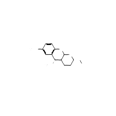 COc1ccc2c(c1)[C@H](OC)[C@H]1[C@@H](O2)O[C@H](CO)[C@H](O)[C@@H]1O